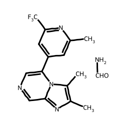 Cc1cc(-c2cncc3nc(C)c(C)n23)cc(C(F)(F)F)n1.NC=O